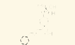 CC(C)(C)[Si](C)(C)OC1CCC(CO)(CCOCc2ccccc2)CC1